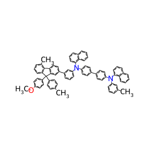 COc1ccc(C2(c3ccc(C)cc3)c3cc(-c4cccc(N(c5ccc(-c6ccc(N(c7cccc(C)c7)c7cccc8ccccc78)cc6)cc5)c5cccc6ccccc56)c4)ccc3-c3c(C)cccc32)cc1